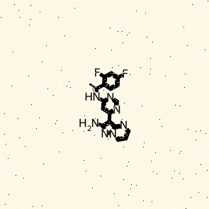 C[C@H](Nc1cc(-c2c(N)nn3cccnc23)ncn1)c1ccc(F)cc1F